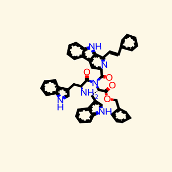 N[C@@H](Cc1c[nH]c2ccccc12)C(=O)N(C(=O)c1cc2c([nH]c3ccccc32)c(C=Cc2ccccc2)n1)[C@@H](Cc1c[nH]c2ccccc12)C(=O)OCc1ccccc1